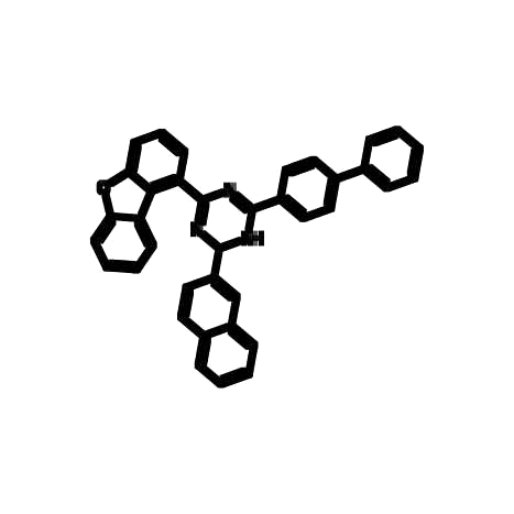 c1ccc(-c2ccc(C3=NC(c4cccc5oc6ccccc6c45)=NC(c4ccc5ccccc5c4)N3)cc2)cc1